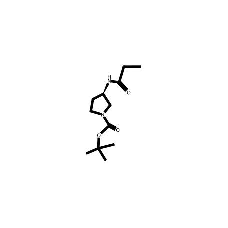 CCC(=O)N[C@@H]1CCN(C(=O)OC(C)(C)C)C1